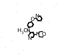 CN(c1ccc(Oc2ccccn2)cc1)c1cncc(N2CCOCC2)c1